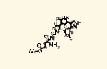 COC(=O)CC[C@H](N)C(=O)NCCn1cc(-c2cc(-c3c[nH]nc3-c3cccc(C)n3)ccc2F)cn1